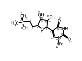 C=P(C)(C)CCC1OC(c2cn(CCC)c(=O)[nH]c2=O)[C@H](O)[C@@H]1O